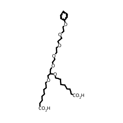 O=C(O)CCCCCCCOCC(COCCOCCOCCOCCOc1ccccc1)OCCCCCCCC(=O)O